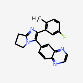 Cc1ccc(F)cc1-c1nc2n(c1-c1ccc3nccnc3c1)CCC2